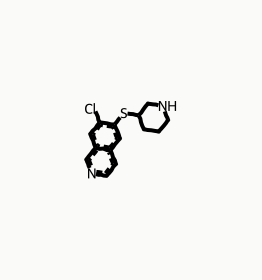 Clc1cc2cnccc2cc1SC1CCCNC1